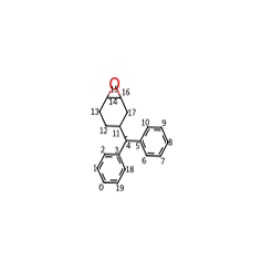 c1ccc([C](c2ccccc2)C2CCC3OC3C2)cc1